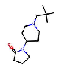 CC(C)(C)CN1CCC(N2CCCC2=O)CC1